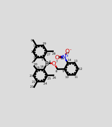 Cc1cc(C)c(B(OCc2ccccc2[N+](=O)[O-])c2c(C)cc(C)cc2C)c(C)c1